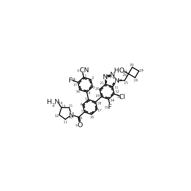 N#Cc1ccc(-c2cc(C(=O)N3CCC(N)C3)ccc2-c2cc3nnn(CC4(O)CCC4)c3c(Cl)c2F)cc1F